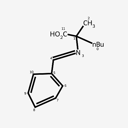 CCCCC(C)(/N=C/c1ccccc1)C(=O)O